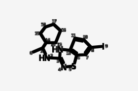 CC(NC1=NSc2cc(I)ccc2N1)C1CCCCC1